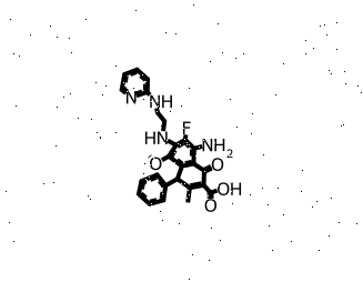 COc1c(NCCNc2ccccn2)c(F)c(N)c2c1C(c1ccccc1)C(C)=C(C(=O)O)C2=O